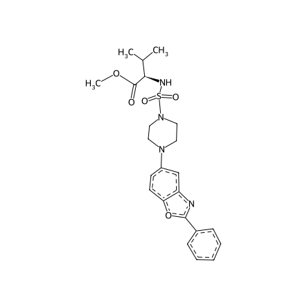 COC(=O)[C@H](NS(=O)(=O)N1CCN(c2ccc3oc(-c4ccccc4)nc3c2)CC1)C(C)C